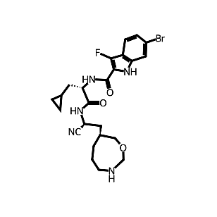 N#C[C@H](C[C@@H]1CCCNCOC1)NC(=O)[C@H](CC1CC1)NC(=O)c1[nH]c2cc(Br)ccc2c1F